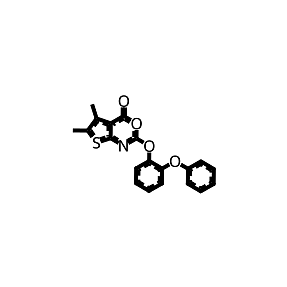 Cc1sc2nc(Oc3ccccc3Oc3ccccc3)oc(=O)c2c1C